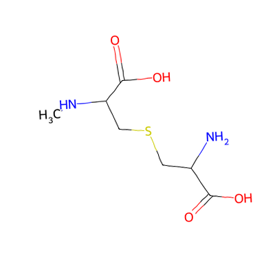 CNC(CSCC(N)C(=O)O)C(=O)O